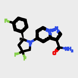 NC(=O)c1cnn2ccc(N3CC(F)(F)C[C@@H]3c3cccc(F)c3)cc12